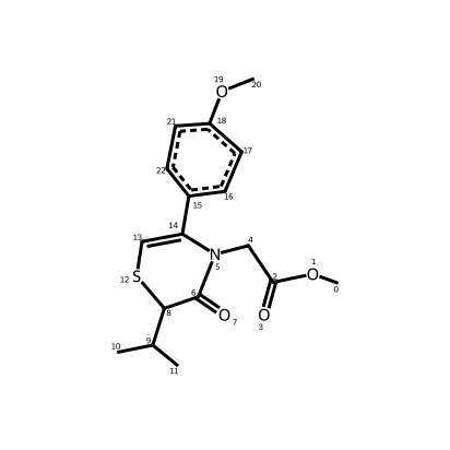 COC(=O)CN1C(=O)C(C(C)C)SC=C1c1ccc(OC)cc1